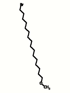 COCCCCCCCCCCCCCCCCBr